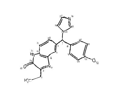 CCc1nc2cc(C(c3ccc(Cl)cc3)n3ccnc3)ccc2[nH]c1=O